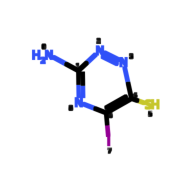 Nc1nnc(S)c(I)n1